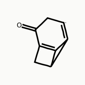 O=C1C[C]=C2C3=C1CC23